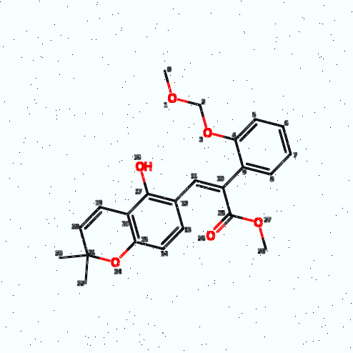 COCOc1ccccc1C(=Cc1ccc2c(c1O)C=CC(C)(C)O2)C(=O)OC